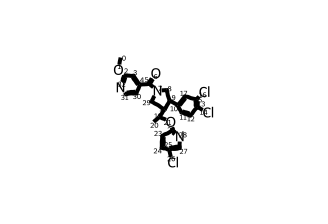 COc1cc(C(=O)N2CC(c3ccc(Cl)c(Cl)c3)C(C(C)Oc3ccc(Cl)cn3)C2)ccn1